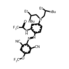 CCCCC(CC)CN(CC(CC)CCCC)c1ccc(N=Nc2c(C#N)cc(OC(F)(F)F)cc2C#N)c(NC(=O)C(F)(F)F)c1